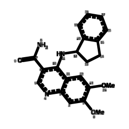 COc1cc2ncc(C(N)=O)c(NC3CCc4ccccc43)c2cc1OC